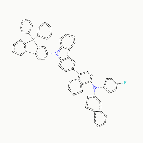 Fc1ccc(N(c2ccc3ccccc3c2)c2ccc(-c3ccc4c(c3)c3ccccc3n4-c3ccc4c(c3)C(c3ccccc3)(c3ccccc3)c3ccccc3-4)c3ccccc23)cc1